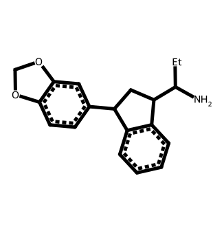 CCC(N)C1CC(c2ccc3c(c2)OCO3)c2ccccc21